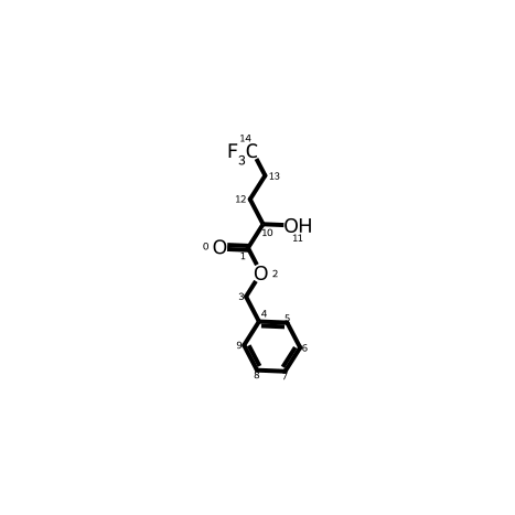 O=C(OCc1ccccc1)C(O)CCC(F)(F)F